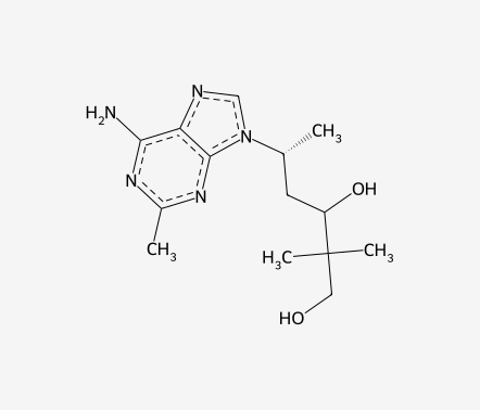 Cc1nc(N)c2ncn([C@H](C)CC(O)C(C)(C)CO)c2n1